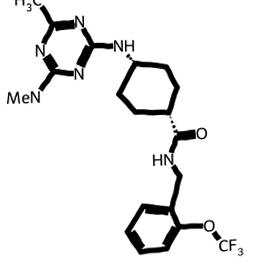 CNc1nc(C)nc(N[C@H]2CC[C@@H](C(=O)NCc3ccccc3OC(F)(F)F)CC2)n1